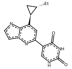 CC[C@H]1C[C@@H]1c1cc(-c2c[nH]c(=O)[nH]c2=O)nn2ccnc12